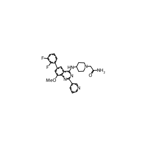 COc1cc(-c2cccc(F)c2F)cc2c(NC3CCN(CC(N)=O)CC3)nc(-c3cccnc3)nc12